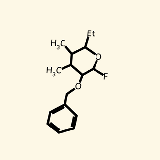 CCC1OC(F)C(OCc2ccccc2)C(C)C1C